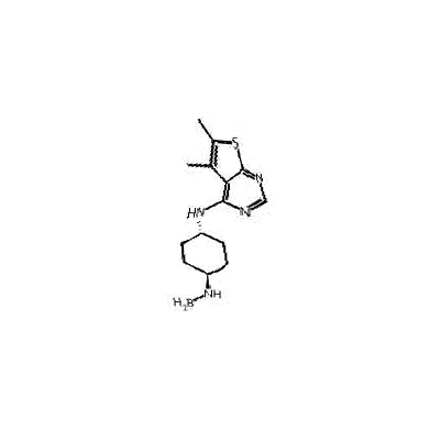 BN[C@H]1CC[C@H](Nc2ncnc3sc(C)c(C)c23)CC1